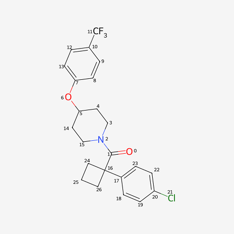 O=C(N1CCC(Oc2ccc(C(F)(F)F)cc2)CC1)C1(c2ccc(Cl)cc2)CCC1